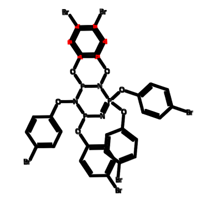 Brc1ccc(ON2P(Oc3ccc(Br)cc3)N=P(Oc3ccc(Br)cc3)(Oc3ccc(Br)cc3)N(Oc3ccc(Br)cc3)P2Oc2ccc(Br)cc2)cc1